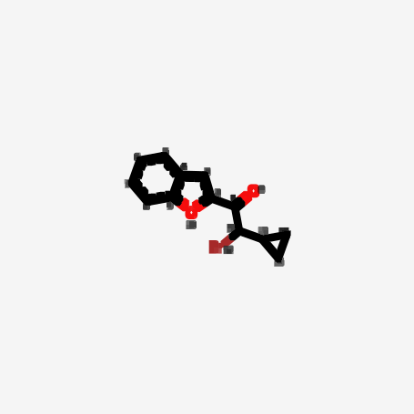 O=C(c1cc2ccccc2o1)C(Br)C1CC1